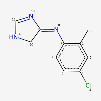 Cc1cc(Cl)ccc1/N=C1\CNC=N1